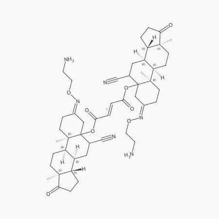 C[C@]12CC[C@@H]3[C@@H](CC(C#N)C4(OC(=O)/C=C/C(=O)OC56CC(=NOCCN)CC[C@]5(C)[C@@H]5CC[C@]7(C)C(=O)CC[C@H]7[C@@H]5CC6C#N)CC(=NOCCN)CC[C@]34C)[C@@H]1CCC2=O